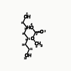 COC(=O)O.OCCCCCCO